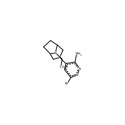 Nc1nnc(Br)cc1N1CC2CCC(C1)N2CC(=O)O